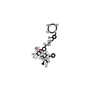 CCC1CC(C(=O)NCCNCc2ccc(CN3CCCNCCNCCCNCC3)cc2Br)CC(OC2OC(CO)C(O)C(O[C@@H](CC3CC3)C(=O)O)C2OC(=O)c2ccccc2)C1OC1OC(C)C(O)C(O)C1O